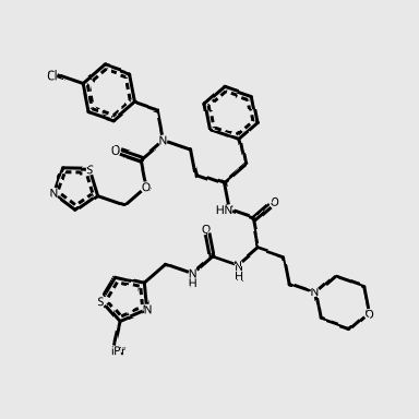 CC(C)c1nc(CNC(=O)NC(CCN2CCOCC2)C(=O)NC(CCN(Cc2ccc(Cl)cc2)C(=O)OCc2cncs2)Cc2ccccc2)cs1